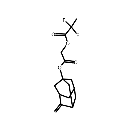 C=C1C2CC3CC1CC(OC(=O)COC(=O)C(C)(F)F)(C3)C2